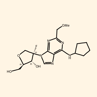 COCc1nc(NC2CCCC2)c2ncn([C@]3(F)CO[C@H](CO)[C@H]3O)c2n1